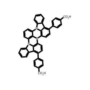 O=C(O)c1ccc(-c2ccc3c4c2c2ccccc2n4-c2cccc4c2B3c2ccc(-c3ccc(C(=O)O)cc3)c3c5ccccc5n-4c23)cc1